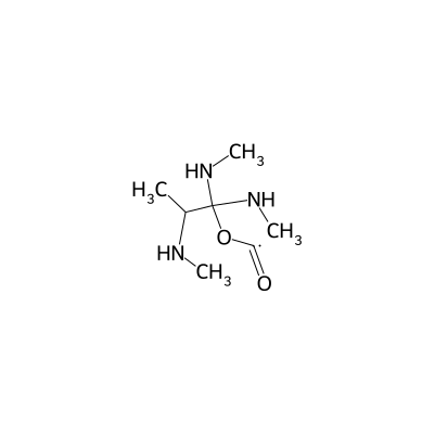 CNC(C)C(NC)(NC)O[C]=O